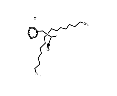 C#CC(I)[N+](CCCCCCCC)(CCCCCCCC)Cc1ccccc1.[Cl-]